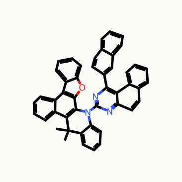 CC1(C)c2ccccc2N(c2nc(-c3ccc4ccccc4c3)c3c(ccc4ccccc43)n2)c2c1c1ccccc1c1c2oc2ccccc21